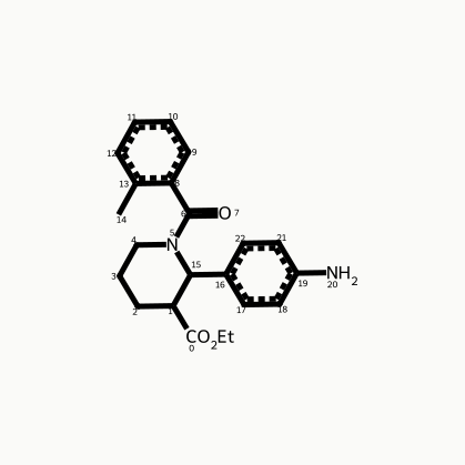 CCOC(=O)C1CCCN(C(=O)c2ccccc2C)C1c1ccc(N)cc1